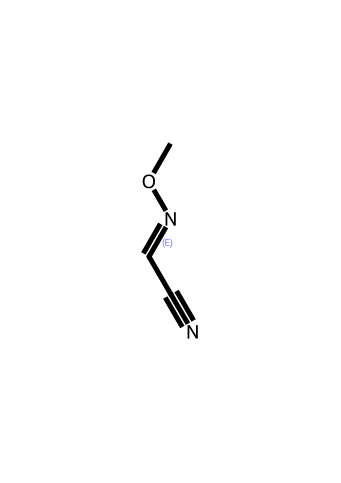 CO/N=C/C#N